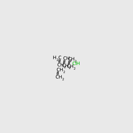 C=C.C=C.C=C.C=C.Cl